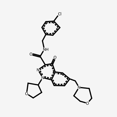 O=C(NCc1ccc(Cl)cc1)c1nn(C2CCOC2)c2ccc(CN3CCOCC3)cc2c1=O